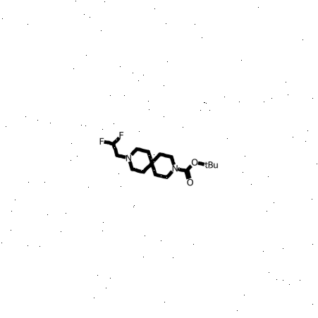 CC(C)(C)OC(=O)N1CCC2(CCN(CC(F)F)CC2)CC1